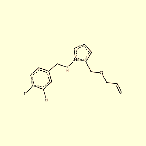 C=CCOCc1cccn1NCc1ccc(F)c(Cl)c1